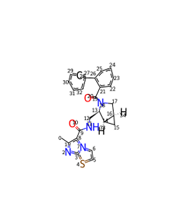 Cc1nc2sccn2c1C(=O)NC[C@@H]1[C@@H]2C[C@@H]2CN1C(=O)c1ccccc1-c1ccccc1